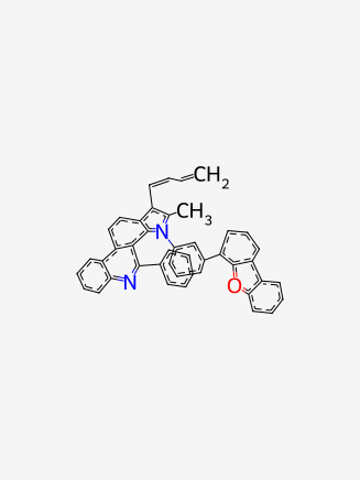 C=C/C=C\c1c(C)n(-c2cccc(-c3cccc4c3oc3ccccc34)c2)c2c1ccc1c3ccccc3nc(-c3ccccc3)c12